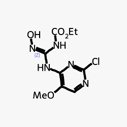 CCOC(=O)N/C(=N\O)Nc1nc(Cl)ncc1OC